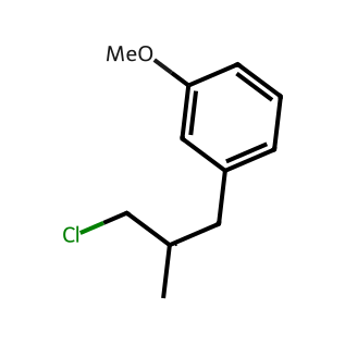 COc1cccc(C[C](C)CCl)c1